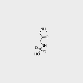 NCC(=O)CNS(=O)(=O)O